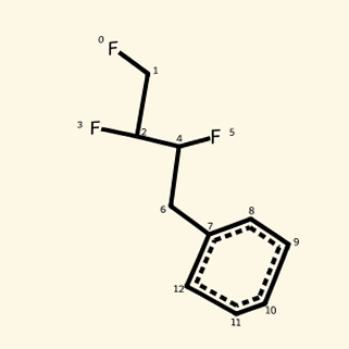 FCC(F)C(F)Cc1c[c]ccc1